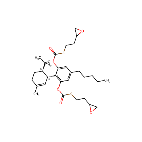 C=C(C)[C@@H]1CCC(C)=C[C@H]1c1c(OC(=O)SCCC2CO2)cc(CCCCC)cc1OC(=O)SCCC1CO1